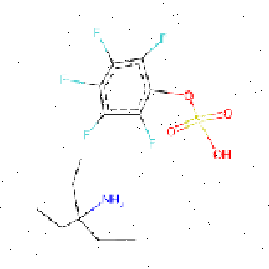 CCC(N)(CC)CC.O=S(=O)(O)Oc1c(F)c(F)c(F)c(F)c1F